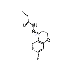 CCC(=O)N/N=C1\CCOc2cc(F)ccc21